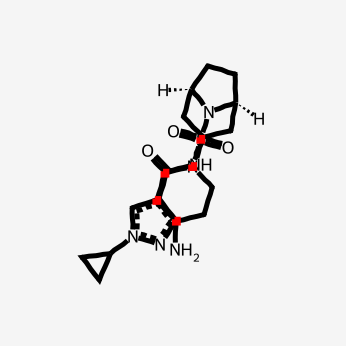 NC1CCN(S(=O)(=O)N2[C@@H]3CC[C@H]2CC(NC(=O)c2cnn(C4CC4)c2)C3)CC1